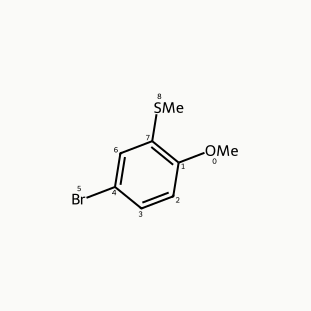 COc1ccc(Br)cc1SC